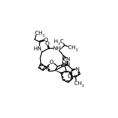 CCC(=O)N[C@H]1Cc2ccc3c(c2)[C@@]2(c4ccccc4NC2O3)c2oc(nc2-c2ncc(C)o2)[C@H](C(C)C)NC1=O